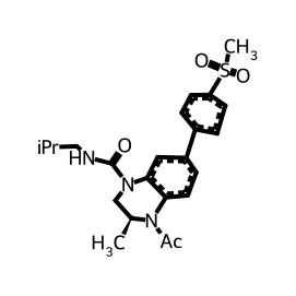 CC(=O)N1c2ccc(-c3ccc(S(C)(=O)=O)cc3)cc2N(C(=O)NCC(C)C)C[C@@H]1C